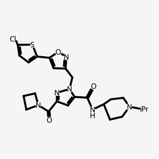 CC(C)N1CCC(NC(=O)c2cc(C(=O)N3CCC3)nn2Cc2cc(-c3ccc(Cl)s3)on2)CC1